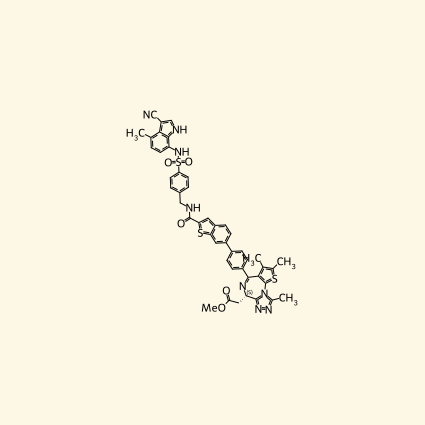 COC(=O)C[C@@H]1N=C(c2ccc(-c3ccc4cc(C(=O)NCc5ccc(S(=O)(=O)Nc6ccc(C)c7c(C#N)c[nH]c67)cc5)sc4c3)cc2)c2c(sc(C)c2C)-n2c(C)nnc21